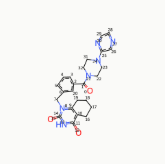 O=C(c1cccc(Cn2c3c(c(=O)[nH]c2=O)CCCC3)c1)N1CCN(c2cnccn2)CC1